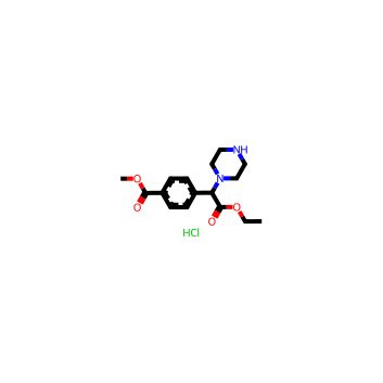 CCOC(=O)C(c1ccc(C(=O)OC)cc1)N1CCNCC1.Cl